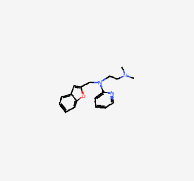 CN(C)CCN(Cc1cc2ccccc2o1)c1ccccn1